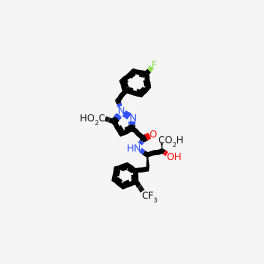 O=C(N[C@H](Cc1ccccc1C(F)(F)F)[C@@H](O)C(=O)O)c1cc(C(=O)O)n(Cc2ccc(F)cc2)n1